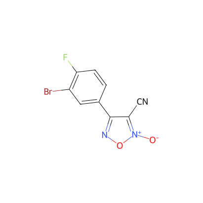 N#Cc1c(-c2ccc(F)c(Br)c2)no[n+]1[O-]